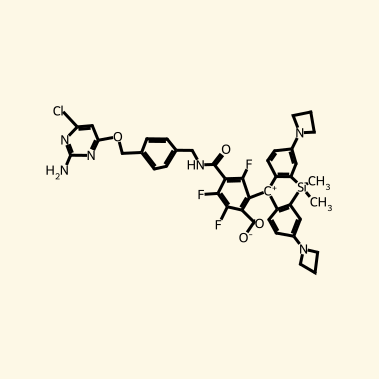 C[Si]1(C)c2cc(N3CCC3)ccc2[C+](c2c(F)c(C(=O)NCc3ccc(COc4cc(Cl)nc(N)n4)cc3)c(F)c(F)c2C(=O)[O-])c2ccc(N3CCC3)cc21